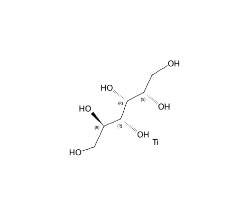 OC[C@@H](O)[C@@H](O)[C@H](O)[C@@H](O)CO.[Ti]